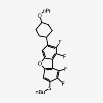 CCCCSc1cc2oc3cc(C4CCC(OCCC)CC4)c(F)c(F)c3c2c(F)c1F